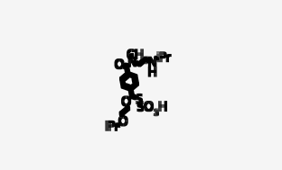 CC(C)NCCN(C)C(=O)c1ccc(C(OCCOC(C)C)SS(=O)(=O)O)cc1